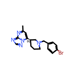 Cc1cc([C@@H]2CCCN(Cc3ccc(Br)cc3)C2)n2ncnc2n1